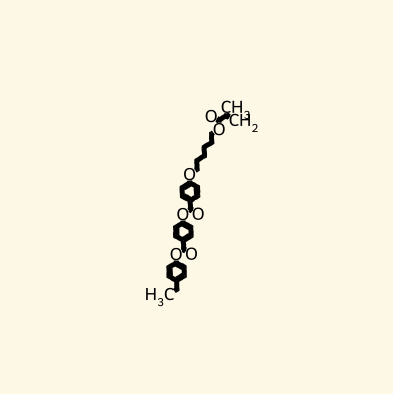 C=C(C)C(=O)OCCCCCCOc1ccc(C(=O)Oc2ccc(C(=O)Oc3ccc(CC)cc3)cc2)cc1